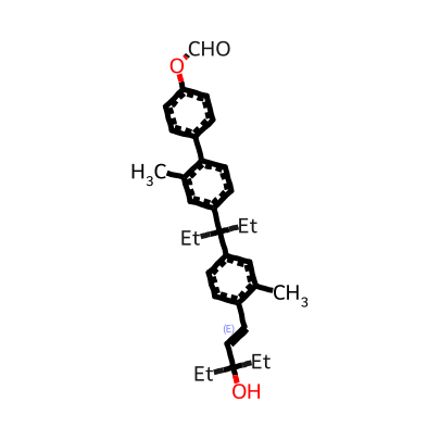 CCC(O)(/C=C/c1ccc(C(CC)(CC)c2ccc(-c3ccc(OC=O)cc3)c(C)c2)cc1C)CC